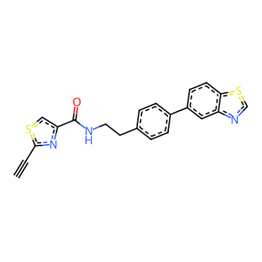 C#Cc1nc(C(=O)NCCc2ccc(-c3ccc4scnc4c3)cc2)cs1